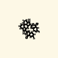 Cc1ccc2nc(-c3[nH]c4ccccc4c3Cc3c(-c4nc5ccc(C)cc5c(=O)o4)[nH]c4ccccc34)oc(=O)c2c1